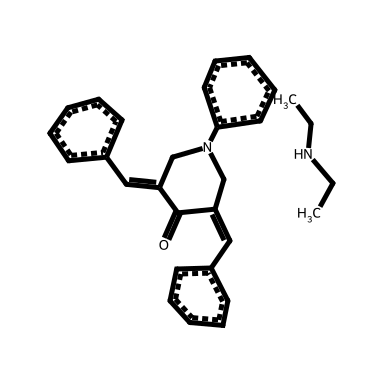 CCNCC.O=C1C(=Cc2ccccc2)CN(c2ccccc2)CC1=Cc1ccccc1